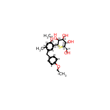 CCOc1ccc(Cc2cc(C3S[C@H](CO)[C@@H](O)C(O)C3O)c(OC)cc2C)cc1